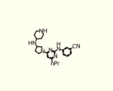 CCCc1cc(N2CCC(NC3CCNCC3)C2)nc(Nc2cccc(C#N)c2)n1